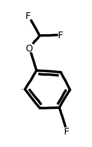 Fc1c[c]c(OC(F)F)cc1